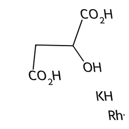 O=C(O)CC(O)C(=O)O.[KH].[Rh]